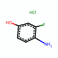 Cl.Nc1ccc(O)cc1F